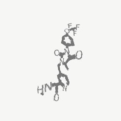 CNC(=O)c1cc(CN2C(=O)N(c3ccc(OC(F)(F)F)cc3)C(=O)C2C)ccn1